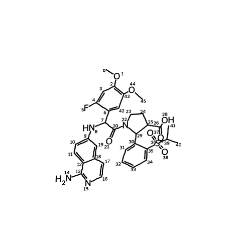 COc1cc(F)c(C(Nc2ccc3c(N)nccc3c2)C(=O)N2CCC(C(=O)O)C2c2ccccc2S(=O)(=O)C(C)C)cc1OC